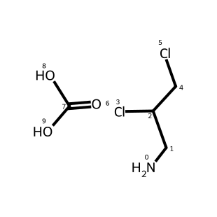 NCC(Cl)CCl.O=C(O)O